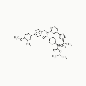 COc1ccc(C23CCC(CN(c4cc(-c5cnn(C(C)C)c5)ccn4)C(=O)[C@H]4CC[C@H](NC(=O)OC(C)C)CC4)(CC2)CC3)cc1C